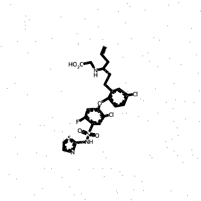 C=CCC(CCc1cc(Cl)ccc1Oc1cc(F)c(S(=O)(=O)Nc2nccs2)cc1Cl)NCC(=O)O